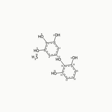 Oc1cccc(O)c1O.Oc1cccc(O)c1O.S